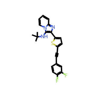 CC(C)(C)Nc1c(-c2ccc(C#Cc3ccc(F)c(F)c3)s2)nc2ccccn12